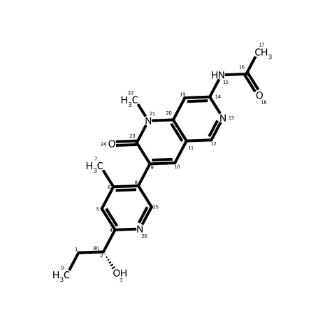 CC[C@@H](O)c1cc(C)c(-c2cc3cnc(NC(C)=O)cc3n(C)c2=O)cn1